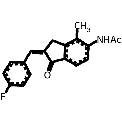 CC(=O)Nc1ccc2c(c1C)C/C(=C/c1ccc(F)cc1)C2=O